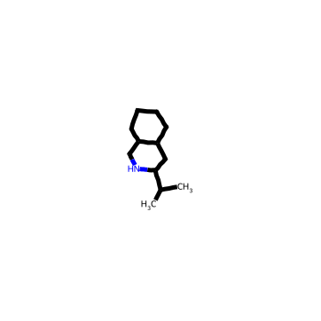 CC(C)C1CC2CCCCC2CN1